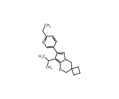 CCc1ccc(-c2nn3c(c2C(C)C)OCC2(CCC2)C3)cn1